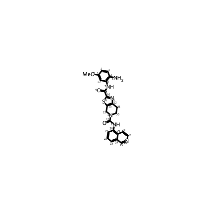 COc1ccc(N)c(NC(=O)c2nc3c(s2)CN(C(=O)Nc2cccc4cnccc24)CC3)c1